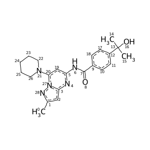 Cc1cc2nc(NC(=O)c3ccc(C(C)(C)O)cc3)cc(N3CCCCC3)n2n1